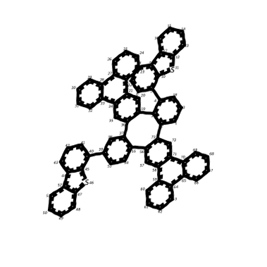 c1cc2c(c(-c3cccc4c3sc3ccccc34)c1)-c1cc3c4ccccc4c4ccccc4c3cc1-c1cc(-c3cccc4c3sc3ccccc34)ccc1-c1cc3c4ccccc4c4ccccc4c3cc1-2